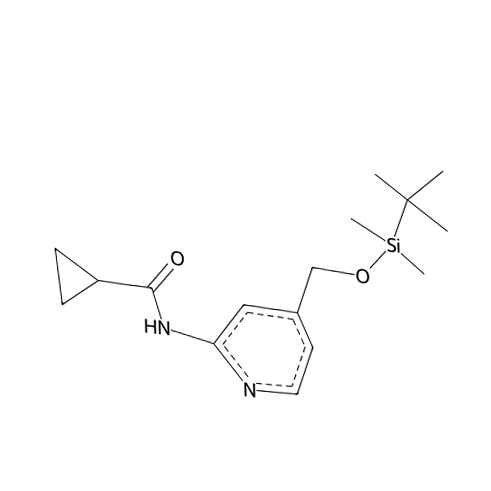 CC(C)(C)[Si](C)(C)OCc1ccnc(NC(=O)C2CC2)c1